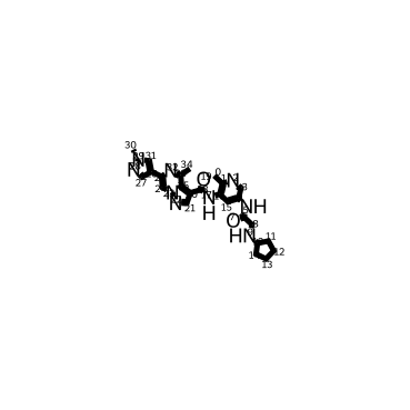 Cc1ncc(NC(=O)CNC2CCCC2)cc1NC(=O)c1cnn2cc(-c3cnn(C)c3)nc(C)c12